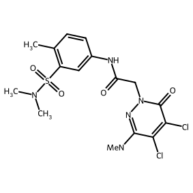 CNc1nn(CC(=O)Nc2ccc(C)c(S(=O)(=O)N(C)C)c2)c(=O)c(Cl)c1Cl